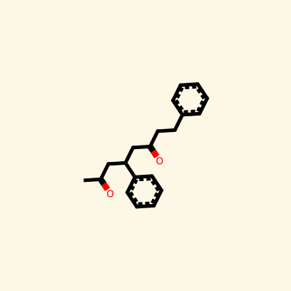 CC(=O)CC(CC(=O)CCc1ccccc1)c1ccccc1